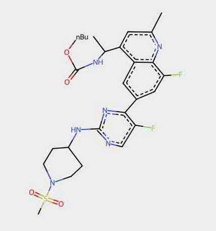 CCCCOC(=O)NC(C)c1cc(C)nc2c(F)cc(-c3nc(NC4CCN(S(C)(=O)=O)CC4)ncc3F)cc12